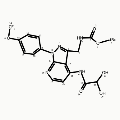 CC(C)(C)OC(=O)NCc1nn(-c2ccc(OC(F)(F)F)cc2)c2nccc(NC(=O)C(O)O)c12